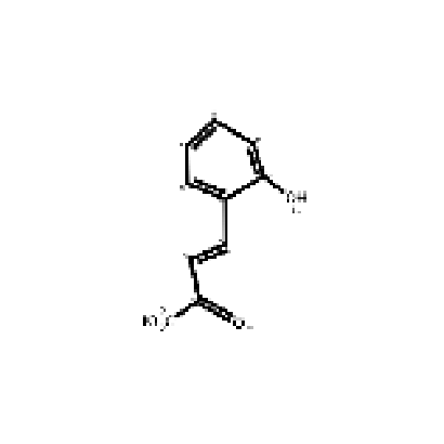 O=C(O)C(=O)C=Cc1ccccc1O